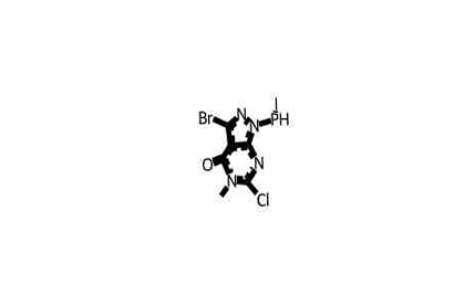 Cn1c(Cl)nc2c(c(Br)nn2PI)c1=O